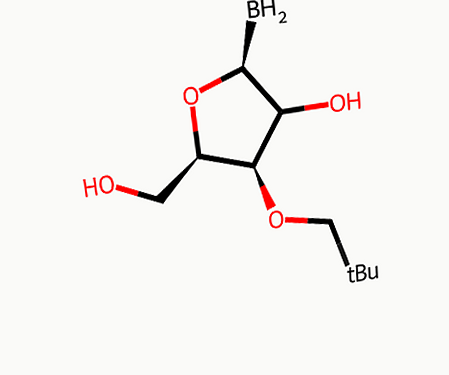 B[C@@H]1O[C@H](CO)[C@H](OCC(C)(C)C)C1O